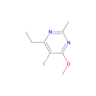 CCc1nc(C)nc(OC)c1I